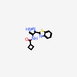 O=C(Nc1c[nH]nc1-c1nc2ccccc2s1)C1CCC1